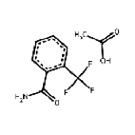 CC(=O)O.NC(=O)c1ccccc1C(F)(F)F